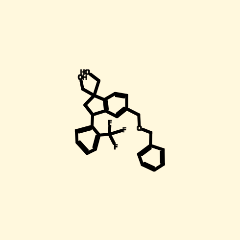 OCC1(CO)CC(c2ccccc2C(F)(F)F)c2cc(COCc3ccccc3)ccc21